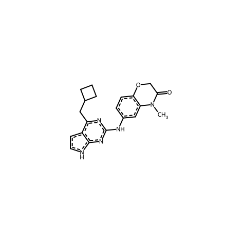 CN1C(=O)COc2ccc(Nc3nc(CC4CCC4)c4cc[nH]c4n3)cc21